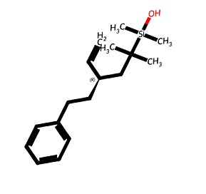 C=C[C@H](CCc1ccccc1)CC(C)(C)[Si](C)(C)O